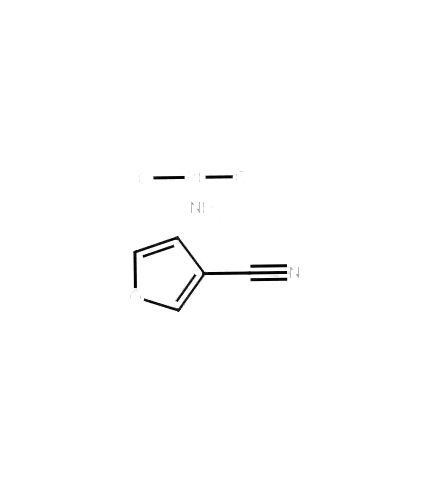 N.N#Cc1ccoc1.[Cl][Pt][Cl]